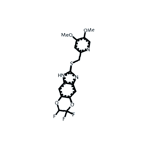 COc1cnc(CSc2nc3cc4c(cc3[nH]2)OC(F)C(F)(F)O4)cc1OC